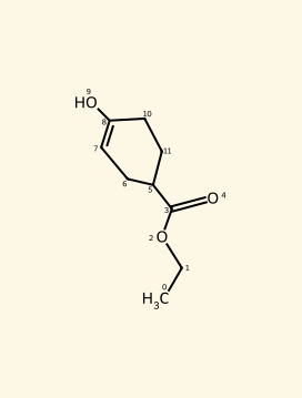 CCOC(=O)C1CC=C(O)CC1